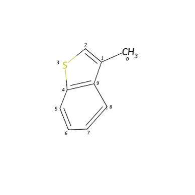 Cc1csc2ccc[c]c12